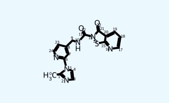 Cc1nccn1-c1cc(CNC(=O)n2sc3ncccc3c2=O)ccn1